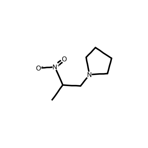 CC(CN1CCCC1)[N+](=O)[O-]